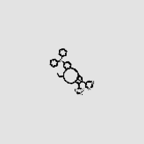 CCC1CCCc2c(C)c(cc(-c3cncnc3)c2-c2nnco2)/C=C\c2ccc(N(c3ccccc3)c3ccccc3)cc2C1